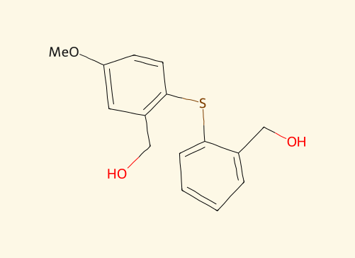 COc1ccc(Sc2ccccc2CO)c(CO)c1